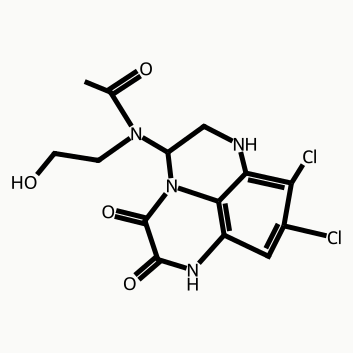 CC(=O)N(CCO)C1CNc2c(Cl)c(Cl)cc3[nH]c(=O)c(=O)n1c23